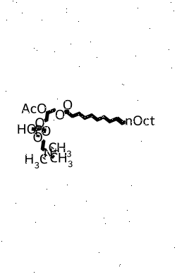 CCCCCCCC/C=C/CCCCCCCC(=O)OC[C@H](COP(=O)(O)OCC[N+](C)(C)C)OC(C)=O